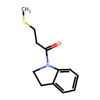 CSCCC(=O)N1CCc2ccccc21